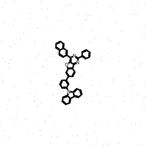 c1ccc(-c2nc(-c3ccc4ccccc4c3)c3oc4cc(-c5cccc(-n6c7ccccc7c7ccccc76)c5)ccc4c3n2)cc1